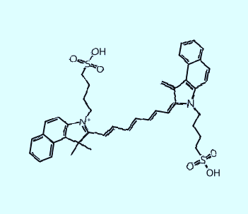 C=c1\c(=C/C=C/C=C/C=C/C2=[N+](CCCCS(=O)(=O)O)c3ccc4ccccc4c3C2(C)C)n(CCCCS(=O)(=O)O)c2ccc3ccccc3c12